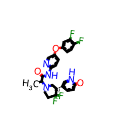 CC(C(=O)Nc1ccc(Oc2ccc(F)c(F)c2)cn1)N1CCC(F)(F)[C@@H](c2ccc(=O)[nH]c2)C1